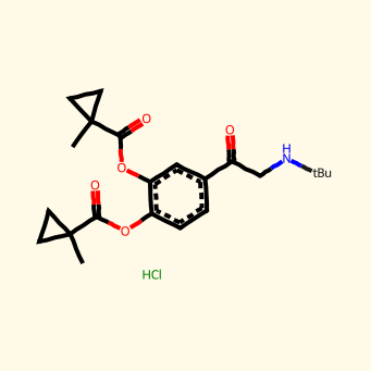 CC(C)(C)NCC(=O)c1ccc(OC(=O)C2(C)CC2)c(OC(=O)C2(C)CC2)c1.Cl